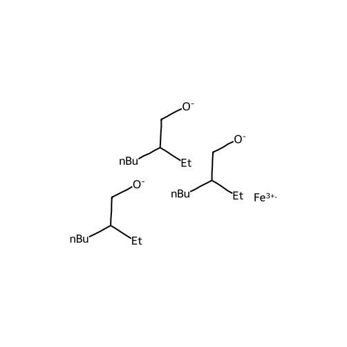 CCCCC(CC)C[O-].CCCCC(CC)C[O-].CCCCC(CC)C[O-].[Fe+3]